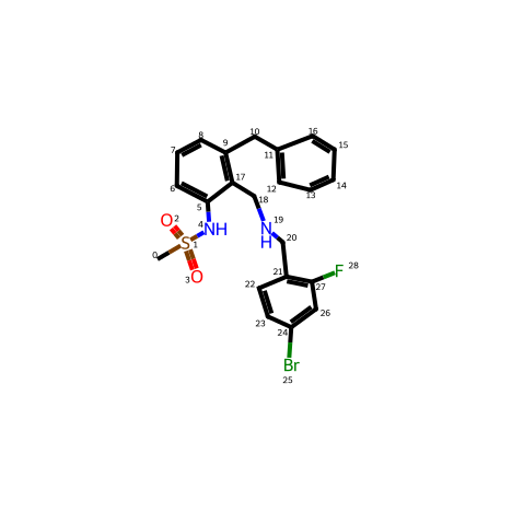 CS(=O)(=O)Nc1cccc(Cc2ccccc2)c1CNCc1ccc(Br)cc1F